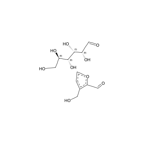 O=C[C@H](O)[C@@H](O)[C@H](O)[C@H](O)CO.O=Cc1occc1CO